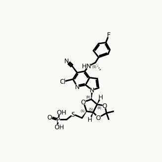 C[C@H](Nc1c(C#N)c(Cl)nc2c1ccn2[C@@H]1O[C@H](CSCP(=O)(O)O)[C@H]2OC(C)(C)O[C@H]21)c1ccc(F)cc1